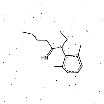 CCCCC(=N)N(CC)c1c(C)cccc1C